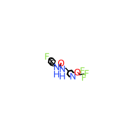 O=C(NCc1ccnc(OCC(F)(F)F)c1)NC12CCC(F)(CC1)CC2